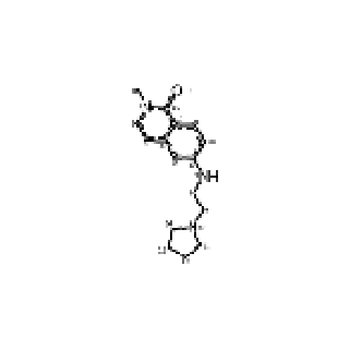 Cn1ccc2cc(NCCN3CCCC3)ccc2c1=O